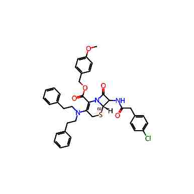 COc1ccc(COC(=O)C2=C(N(CCc3ccccc3)CCc3ccccc3)CS[C@H]3C(NC(=O)Cc4ccc(Cl)cc4)C(=O)N23)cc1